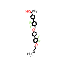 C=CCCCOc1ccc(C2CCC(OCc3ccc(-c4ccc(C(O)CCC)cc4)c(F)c3F)CC2)c(F)c1F